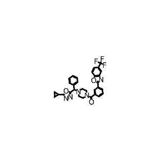 O=C(c1cccc(-c2nc3cc(C(F)(F)F)ccc3o2)c1)N1CCN(C(c2ccccc2)c2nnc(C3CC3)o2)CC1